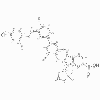 CC1(C)COC[C@H]1n1c(Cc2c(F)cc(-c3ccc(F)c(OCc4ccc(Cl)cc4F)n3)cc2F)nc2ccc(C(=O)O)cc21